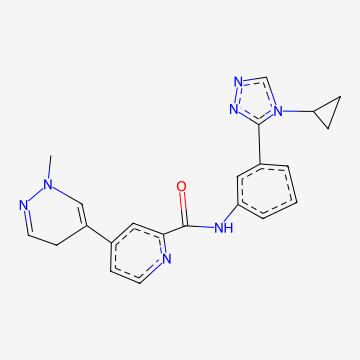 CN1C=C(c2ccnc(C(=O)Nc3cccc(-c4nncn4C4CC4)c3)c2)CC=N1